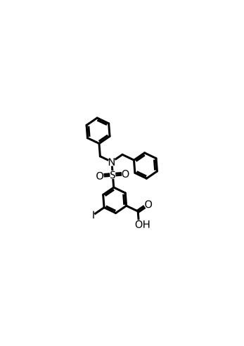 O=C(O)c1cc(I)cc(S(=O)(=O)N(Cc2ccccc2)Cc2ccccc2)c1